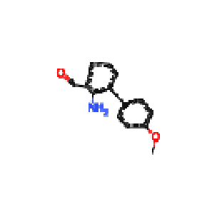 COc1ccc(-c2cccc(C=O)c2N)cc1